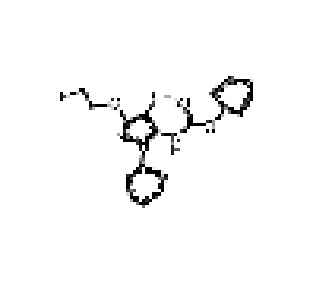 Cc1c(OCCF)nn(-c2ccccc2)c1NC(=O)Oc1ccccc1